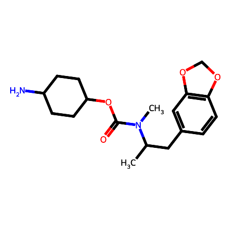 CC(Cc1ccc2c(c1)OCO2)N(C)C(=O)OC1CCC(N)CC1